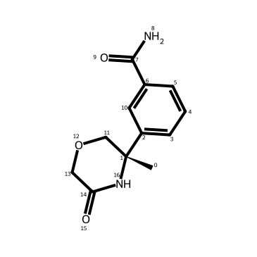 C[C@]1(c2cccc(C(N)=O)c2)COCC(=O)N1